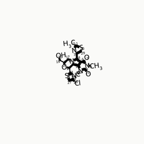 Cc1nc(-c2c3c(=O)n(C)c(=O)n(C)c3c3n2C[C@H](CO)O[C@@H]3c2nc(Cl)cs2)cs1